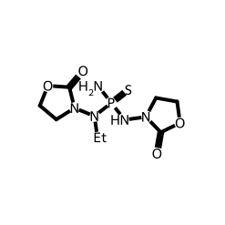 CCN(N1CCOC1=O)P(N)(=S)NN1CCOC1=O